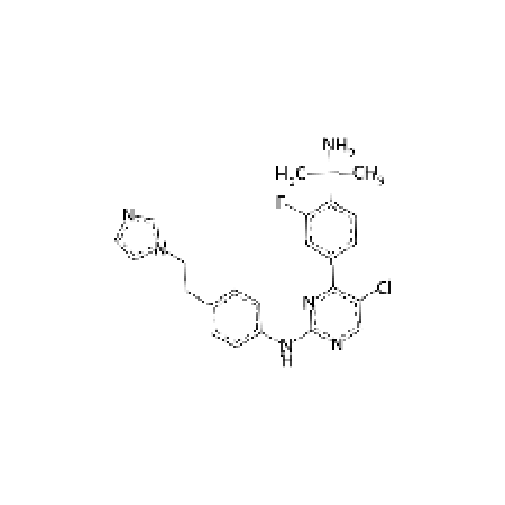 CC(C)(N)c1ccc(-c2nc(Nc3ccc(CCn4ccnc4)cc3)ncc2Cl)cc1F